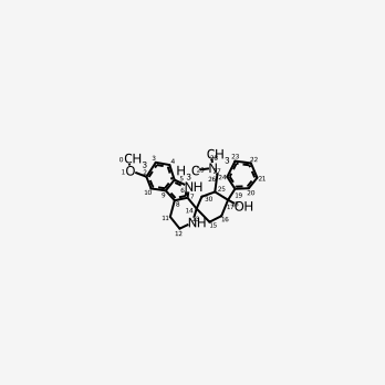 COc1ccc2[nH]c3c(c2c1)CCNC31CCC(O)(c2ccccc2)C(CN(C)C)C1